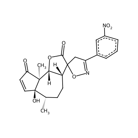 C[C@H]1CC[C@@H]2[C@@H](OC(=O)C23CC(c2cccc([N+](=O)[O-])c2)=NO3)[C@]2(C)C(=O)C=C[C@@]12O